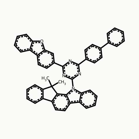 CC1(C)c2ccccc2-c2ccc3c4ccccc4n(-c4nc(-c5ccc(-c6ccccc6)cc5)nc(-c5ccc6c(c5)oc5ccccc56)n4)c3c21